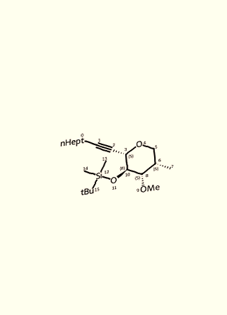 CCCCCCCC#C[C@@H]1OC[C@H](C)[C@H](OC)[C@H]1O[Si](C)(C)C(C)(C)C